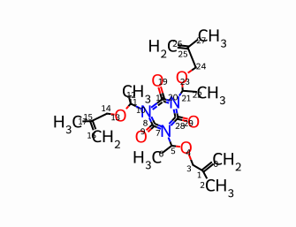 C=C(C)COC(C)n1c(=O)n(C(C)OCC(=C)C)c(=O)n(C(C)OCC(=C)C)c1=O